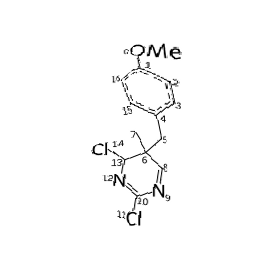 COc1ccc(CC2(C)C=NC(Cl)=NC2Cl)cc1